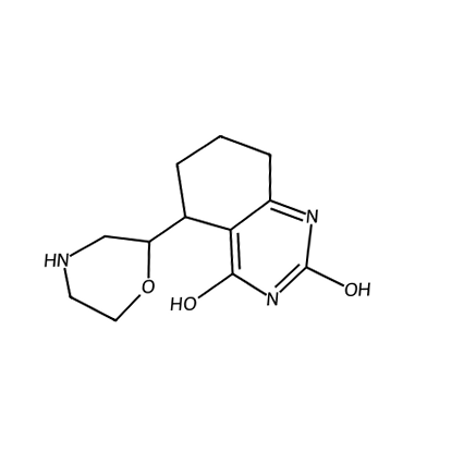 Oc1nc(O)c2c(n1)CCCC2C1CNCCO1